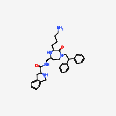 NCCCC[C@@H]1N[C@H](CNC(=O)C2Cc3ccccc3CN2)CCN(CC(c2ccccc2)c2ccccc2)C1=O